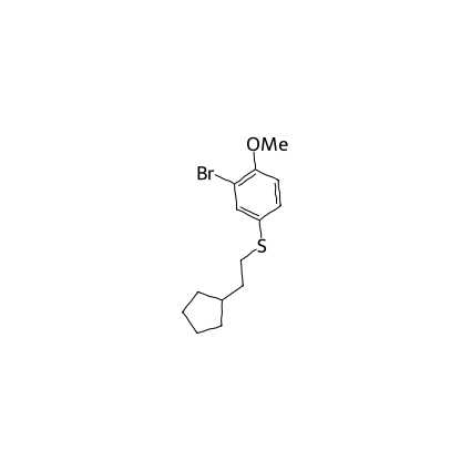 COc1ccc(SCCC2CCCC2)cc1Br